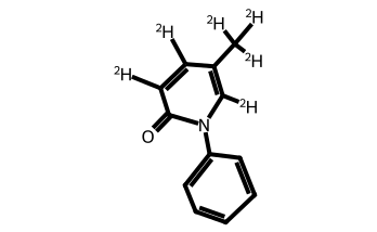 [2H]c1c(C([2H])([2H])[2H])c([2H])n(-c2ccccc2)c(=O)c1[2H]